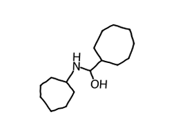 OC(NC1CCCCCC1)C1CCCCCCC1